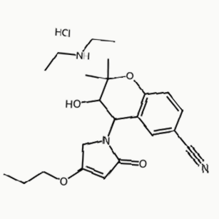 CCCOC1=CC(=O)N(C2c3cc(C#N)ccc3OC(C)(C)C2O)C1.CCNCC.Cl